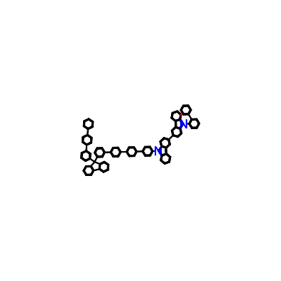 c1ccc(-c2ccc(-c3cccc(C4(c5cccc(-c6ccc(-c7ccc(-c8ccc(-n9c%10ccccc%10c%10cc(-c%11ccc%12c(c%11)c%11ccccc%11n%12-c%11ccccc%11-c%11ccccc%11)ccc%109)cc8)cc7)cc6)c5)c5ccccc5-c5ccccc54)c3)cc2)cc1